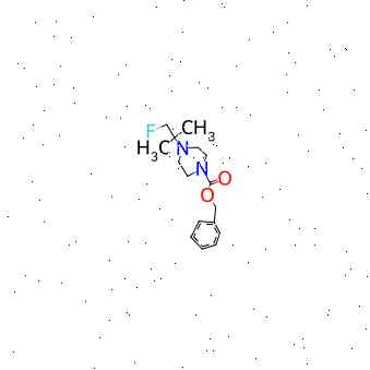 CC(C)(CF)N1CCN(C(=O)OCc2ccccc2)CC1